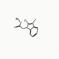 CCc1n(CC(=O)OC(C)(C)C)c2ccccc2[n+]1C